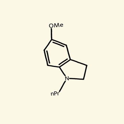 CCCN1CCc2cc(OC)ccc21